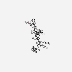 COc1cc(C(=O)N2C[C@H]3CC4C[C@@H]2[C@H]43)cc2nc(-c3cc4cc(N[C@@H]5[C@@H]6CC[C@H]5N(C(=O)c5cc(OC)c7c(c5)nc(-c5cc8cccnc8n5CC5CC5)n7C[C@H]5C[C@@H](OC)C5)C6)cnc4n3CC3CC3)n(CCSC)c12